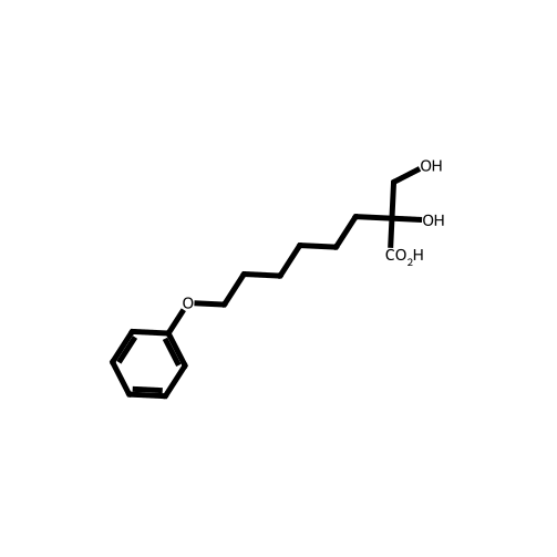 O=C(O)C(O)(CO)CCCCCCOc1ccccc1